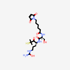 CC(C)(S)C(=O)[C@H](CCCNC(N)O)NC(=O)[C@H](CO)NC(=O)CCCCCN1C(=O)C=CC1=O